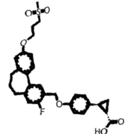 CS(=O)(=O)CCCOc1ccc2c(c1)CCCc1cc(F)c(COc3ccc([C@H]4C[C@@H]4C(=O)O)cc3)cc1-2